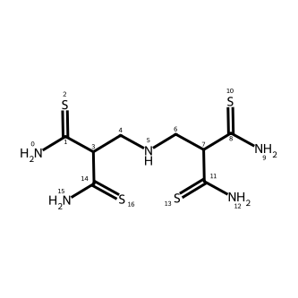 NC(=S)C(CNCC(C(N)=S)C(N)=S)C(N)=S